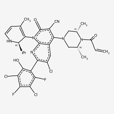 C=CC(=O)N1[C@H](C)CN(c2c(C#N)c(=O)n(C3=C(C)C=CN[C@@H]3C(C)C)c3nc(-c4c(O)c(Cl)c(F)c(Cl)c4F)c(Cl)cc23)C[C@@H]1C